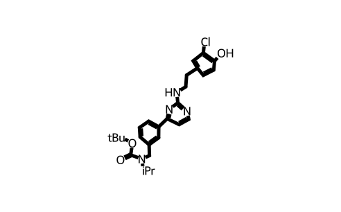 CC(C)N(Cc1cccc(-c2ccnc(NCCc3ccc(O)c(Cl)c3)n2)c1)C(=O)OC(C)(C)C